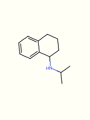 CC(C)NC1CCCc2ccccc21